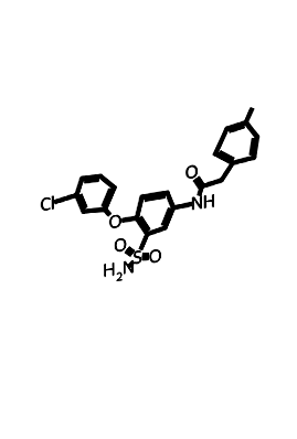 Cc1ccc(CC(=O)Nc2ccc(Oc3cccc(Cl)c3)c(S(N)(=O)=O)c2)cc1